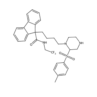 Cc1ccc(S(=O)(=O)C2CNCCN2CCCCC2(C(=O)NCC(F)(F)F)c3ccccc3-c3ccccc32)cc1